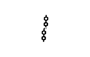 Cc1ccc(C2C=CC(COc3ccc(C4CCC(C)CC4)cc3)CC2)cc1